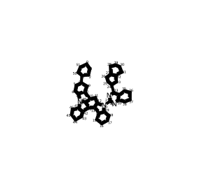 c1ccc(-c2ccc3c(c2)c2cc4c(c5ccccc5n4-c4nc(-c5ccc6ccccc6c5)c5ccccc5n4)c4c5ccccc5n3c24)cc1